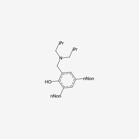 CCCCCCCCCc1cc(CCCCCCCCC)c(O)c(CN(CC(C)C)CC(C)C)c1